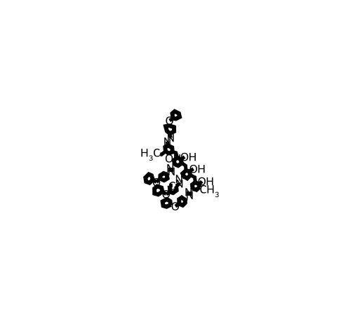 CCc1cc(N=Nc2ccc(Oc3ccccc3)cc2)cc(Cc2cc(N=Nc3ccc(Oc4ccccc4)cc3)cc(Cc3cc(N=Nc4ccc(Oc5ccccc5)cc4)cc(Cc4cc(N=Nc5ccc(Oc6ccccc6)cc5)cc(C)c4O)c3O)c2O)c1O